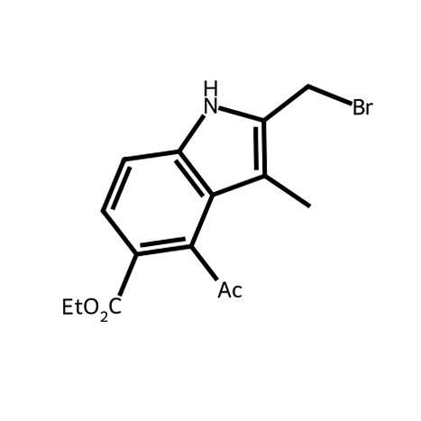 CCOC(=O)c1ccc2[nH]c(CBr)c(C)c2c1C(C)=O